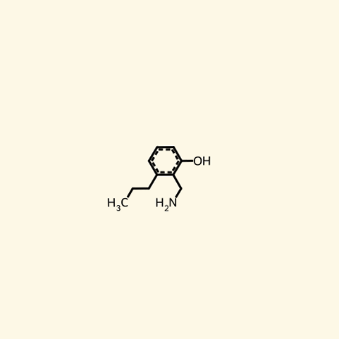 CCCc1cccc(O)c1CN